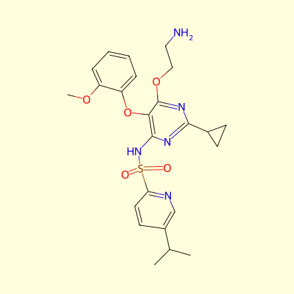 COc1ccccc1Oc1c(NS(=O)(=O)c2ccc(C(C)C)cn2)nc(C2CC2)nc1OCCN